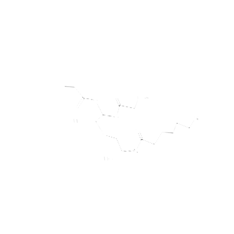 CCCCCCCCCCCCCCCC(=O)N[C@@H](CS[C@H](C)C(OC(=O)CCCCCCCCCCC)OC(=O)CCCCCCCCCCC)C(=O)O